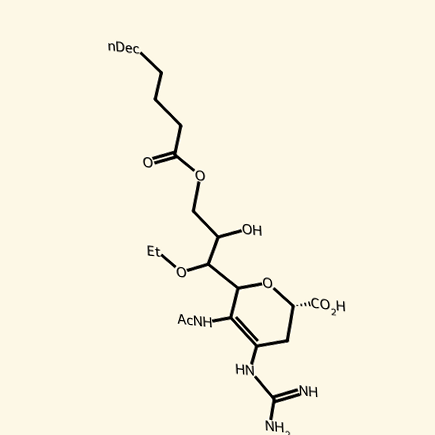 CCCCCCCCCCCCCC(=O)OCC(O)C(OCC)C1O[C@H](C(=O)O)CC(NC(=N)N)=C1NC(C)=O